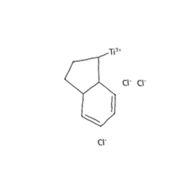 [Cl-].[Cl-].[Cl-].[Ti+3][CH]1CCC2C=CC=CC12